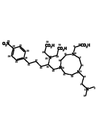 CN(C)CCN1CCN(CC(=O)O)CCN(CC(CCCc2ccc([N+](=O)[O-])cc2)N(CC(=O)O)CC(=O)O)CC1